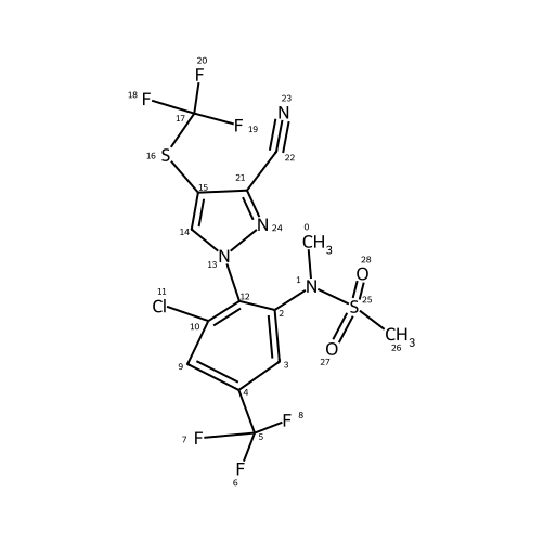 CN(c1cc(C(F)(F)F)cc(Cl)c1-n1cc(SC(F)(F)F)c(C#N)n1)S(C)(=O)=O